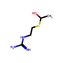 CC(O)SCCNC(=N)N